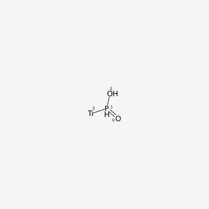 O=[PH](O)[Ti]